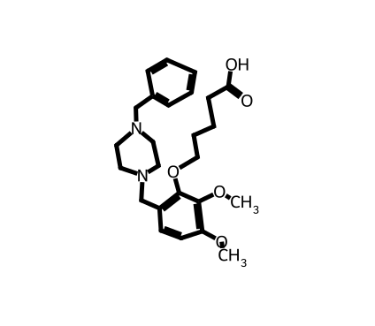 COc1ccc(CN2CCN(Cc3ccccc3)CC2)c(OCCCCC(=O)O)c1OC